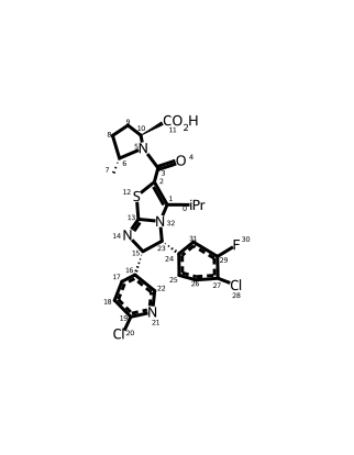 CC(C)C1=C(C(=O)N2[C@H](C)CC[C@H]2C(=O)O)SC2=N[C@@H](c3ccc(Cl)nc3)[C@@H](c3ccc(Cl)c(F)c3)N21